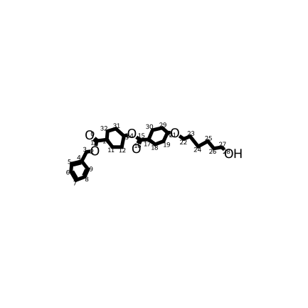 O=C(OCc1ccccc1)C1CCC(OC(=O)C2CCC(OCCCCCCO)CC2)CC1